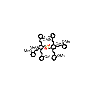 COc1ccccc1/C=C/C1=CC(/C=C/c2ccccc2OC)(OC)C(/C=C/c2ccccc2OC)=CC1CS(=O)(=O)CC1C=C(/C=C/c2ccccc2OC)C(/C=C/c2ccccc2OC)(OC)C=C1/C=C/c1ccccc1OC